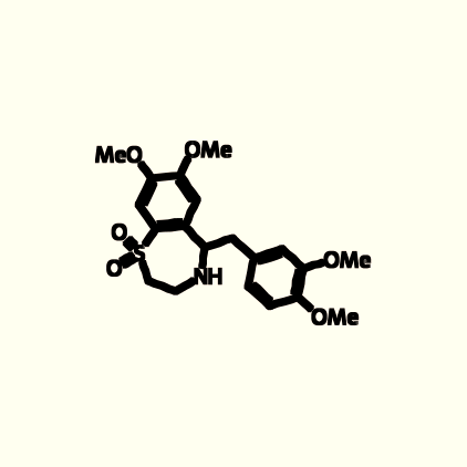 COc1ccc(CC2NCCS(=O)(=O)c3cc(OC)c(OC)cc32)cc1OC